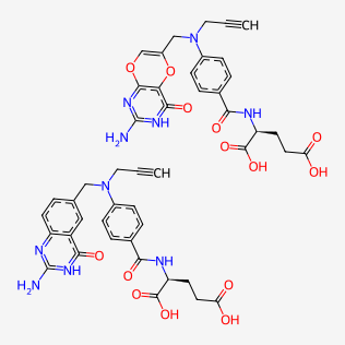 C#CCN(CC1=COc2nc(N)[nH]c(=O)c2O1)c1ccc(C(=O)N[C@@H](CCC(=O)O)C(=O)O)cc1.C#CCN(Cc1ccc2nc(N)[nH]c(=O)c2c1)c1ccc(C(=O)N[C@@H](CCC(=O)O)C(=O)O)cc1